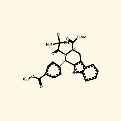 BC(B)(Cl)C(=O)N1[C@@H](c2ccc(C(=O)OC(C)(C)C)cc2)c2[nH]c3ccccc3c2C[C@@H]1C(=O)OC